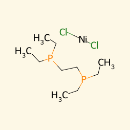 CCP(CC)CCP(CC)CC.[Cl][Ni][Cl]